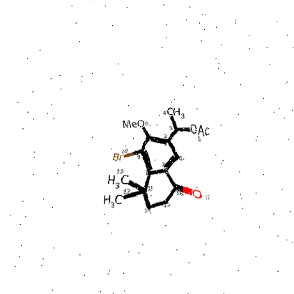 COc1c(C(C)OC(C)=O)cc2c(c1Br)C(C)(C)CCC2=O